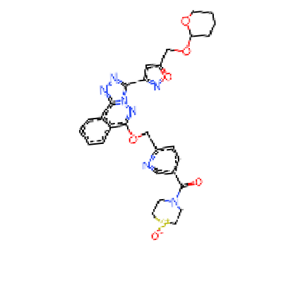 O=C(c1ccc(COc2nn3c(-c4cc(COC5CCCCO5)on4)nnc3c3ccccc23)nc1)N1CC[S+]([O-])CC1